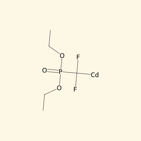 CCOP(=O)(OCC)[C](F)(F)[Cd]